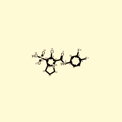 O=C(Nc1ccc(F)c(F)c1)c1c(Cl)c(S(=O)(=O)O)c2n1CCC2